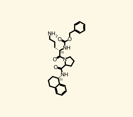 NCCC[C@H](NC(=O)OCc1ccccc1)C(=O)N1CCCC1C(=O)N[C@H]1CCCc2ccccc21